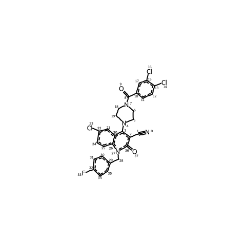 N#Cc1c(N2CCN(C(=O)c3ccc(Cl)c(Cl)c3)CC2)c2cc(Cl)ccc2n(Cc2ccc(F)cc2)c1=O